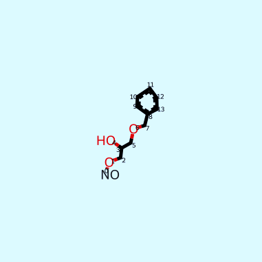 O=NOCC(O)COCc1ccccc1